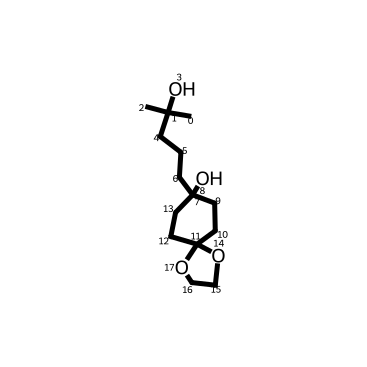 CC(C)(O)CCCC1(O)CCC2(CC1)OCCO2